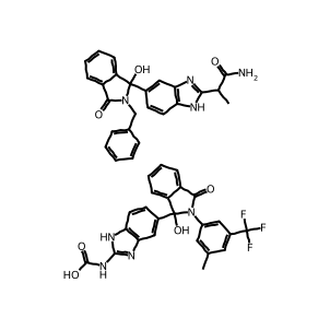 CC(C(N)=O)c1nc2cc(C3(O)c4ccccc4C(=O)N3Cc3ccccc3)ccc2[nH]1.Cc1cc(N2C(=O)c3ccccc3C2(O)c2ccc3[nH]c(NC(=O)O)nc3c2)cc(C(F)(F)F)c1